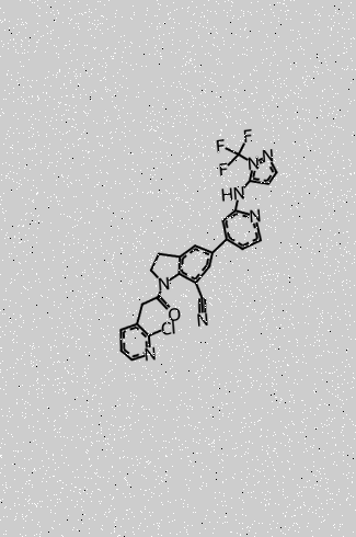 N#Cc1cc(-c2ccnc(Nc3ccnn3C(F)(F)F)c2)cc2c1N(C(=O)Cc1cccnc1Cl)CC2